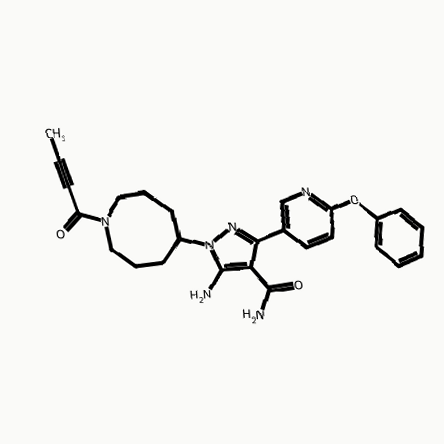 CC#CC(=O)N1CCCC(n2nc(-c3ccc(Oc4ccccc4)nc3)c(C(N)=O)c2N)CCC1